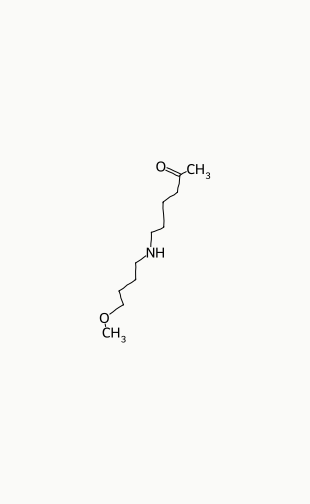 COCCCCNCCCCC(C)=O